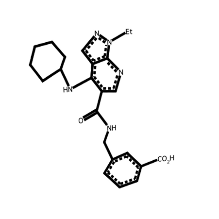 CCn1ncc2c(NC3CCCCC3)c(C(=O)NCc3cccc(C(=O)O)c3)cnc21